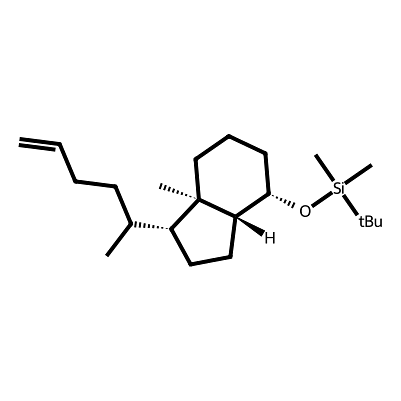 C=CCCC(C)[C@H]1CC[C@H]2[C@@H](O[Si](C)(C)C(C)(C)C)CCC[C@]12C